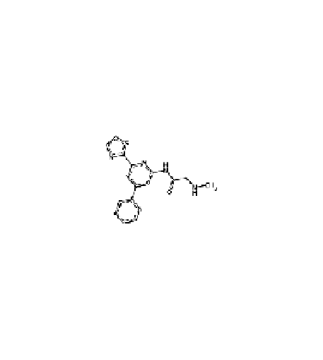 CNCC(=O)Nc1cc(-c2ccccn2)nc(-c2nccs2)n1